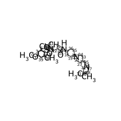 COc1cc(C)c(S(=O)(=O)N(C)CCC(=O)N[C@H]2CC[C@H](N3CCC(CN4CCC(C)(C)C4)CC3)CC2)c(C)c1